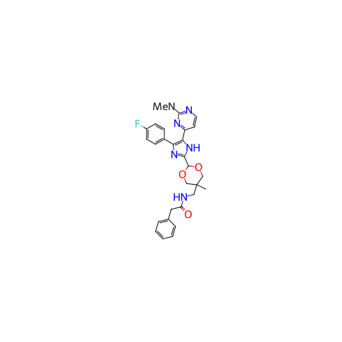 CNc1nccc(-c2[nH]c(C3OCC(C)(CNC(=O)Cc4ccccc4)CO3)nc2-c2ccc(F)cc2)n1